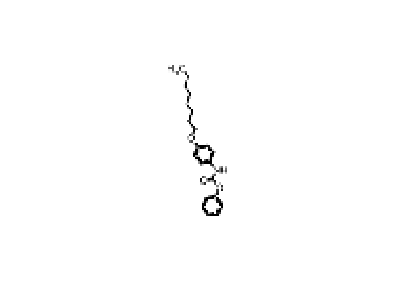 CCCCCCCCOc1ccc(NC(=O)Oc2ccccc2)cc1